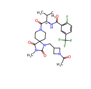 CC(=O)N1CC(CN2C(=O)N(C)C(=O)C23CCN(C(=O)[C@H](NC(=O)c2cc(C(F)(F)F)ccc2F)C(C)C)CC3)C1